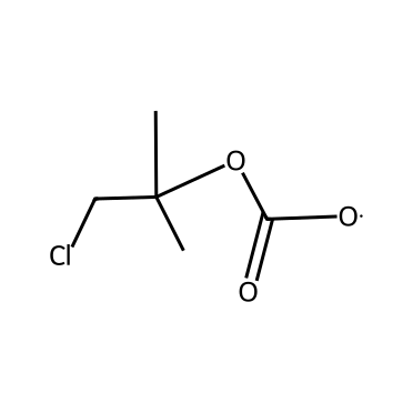 CC(C)(CCl)OC([O])=O